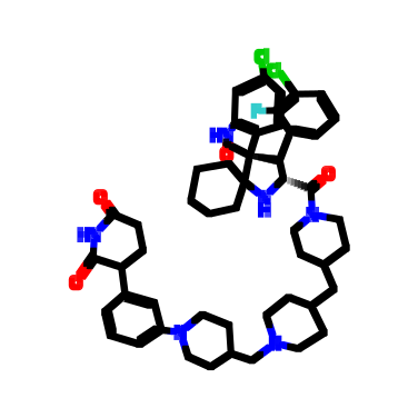 O=C1CCC(c2cccc(N3CCC(CN4CCC(CC5CCN(C(=O)[C@@H]6NC7(CCCCC7)[C@@]7(C(=O)Nc8cc(Cl)ccc87)C6c6cccc(Cl)c6F)CC5)CC4)CC3)c2)C(=O)N1